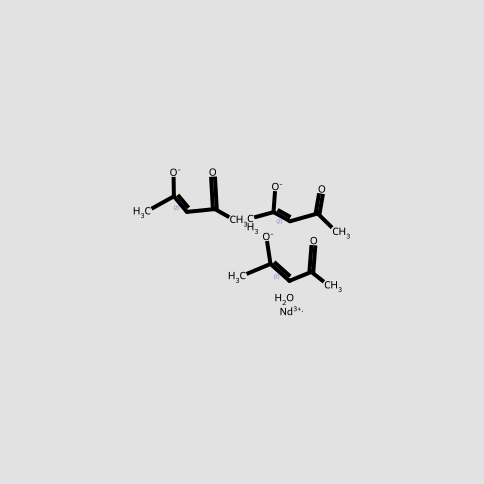 CC(=O)/C=C(/C)[O-].CC(=O)/C=C(/C)[O-].CC(=O)/C=C(/C)[O-].O.[Nd+3]